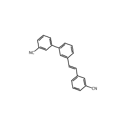 N#Cc1cccc(/C=C/c2cccc(-c3cccc(C#N)c3)c2)c1